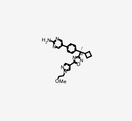 COCCn1cc(-c2nc([C@@](C)(c3ccc(-c4cnc(N)nc4)cc3)C3CCC3)no2)cn1